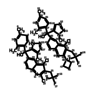 Cc1ccc(C(O)(c2ccc3nc(Cl)c(CC(F)(F)F)c(Cl)c3c2)c2[nH]nnc2C)c(C)n1.Cc1ccc(C(O)(c2ccc3nc(N4CCC4)c(CC(F)(F)F)c(Cl)c3c2)c2cnnn2C)c(C)n1